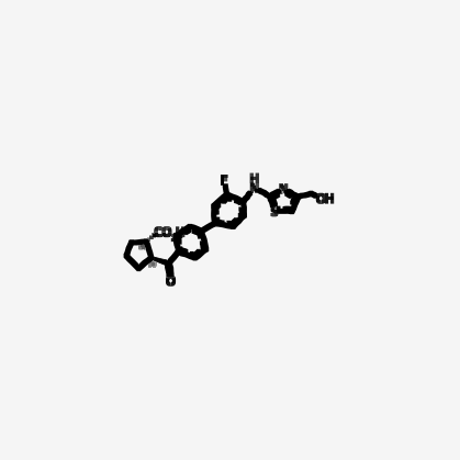 O=C(O)[C@H]1CCC[C@@H]1C(=O)c1ccc(-c2ccc(Nc3nc(CO)cs3)c(F)c2)cc1